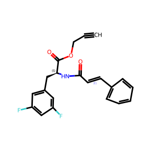 C#CCOC(=O)[C@H](Cc1cc(F)cc(F)c1)NC(=O)/C=C/c1ccccc1